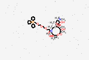 CC[C@H]1OC(=O)[C@H](C)[C@@H](O)[C@H](C)[C@@H](O[C@@H]2O[C@H](C)C[C@H](N(C)C)[C@H]2O)[C@](C)(O)C[C@@H](C)CN(C(=O)CCOCCOCCOCC[PH](c2ccccc2)(c2ccccc2)c2ccccc2)[C@H](C)[C@@H](O)[C@]1(C)O